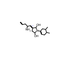 C=CCC(N)/C=C1\CC(O)N(C2=CCC(C)C(C)C2)C1O